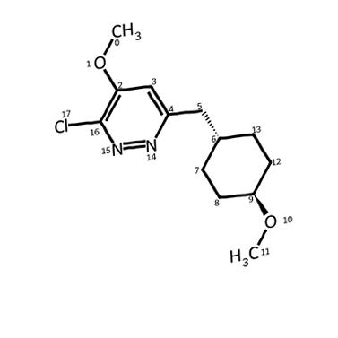 COc1cc(C[C@H]2CC[C@H](OC)CC2)nnc1Cl